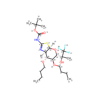 CCCCO[C@@H]1[C@H]2N=C(NC(=O)OC(C)(C)C)S[C@H]2O[C@H](C(C)(O)C(F)(F)F)[C@H]1OCCCC